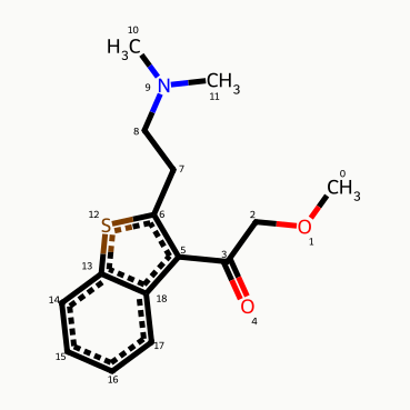 COCC(=O)c1c(CCN(C)C)sc2ccccc12